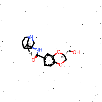 O=C(N[C@H]1CN2CCC1CC2)c1ccc2c(c1)O[C@H](CO)CO2